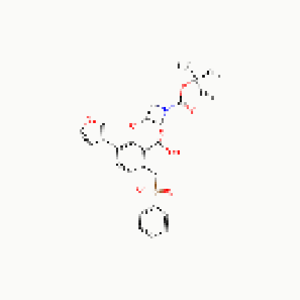 CC(C)(C)OC(=O)N1CC(Oc2c(-c3ccoc3)ccc(CS(=O)(=O)c3ccccc3)c2C(=O)O)C1